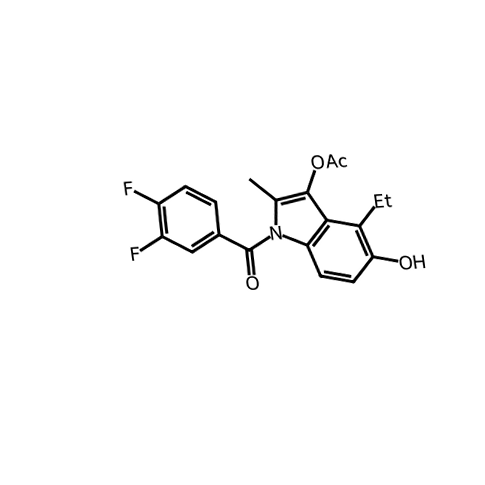 CCc1c(O)ccc2c1c(OC(C)=O)c(C)n2C(=O)c1ccc(F)c(F)c1